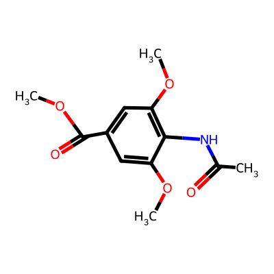 COC(=O)c1cc(OC)c(NC(C)=O)c(OC)c1